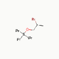 CC(Br)CO[Si](C(C)C)(C(C)C)C(C)C